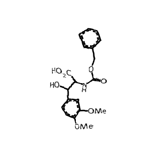 COc1ccc(C(O)C(NC(=O)OCc2ccccc2)C(=O)O)cc1OC